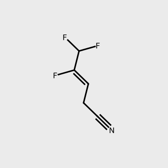 N#CCC=C(F)C(F)F